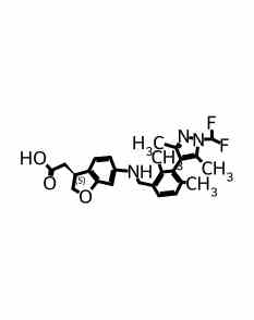 Cc1ccc(CNc2ccc3c(c2)OC[C@H]3CC(=O)O)c(C)c1-c1c(C)nn(C(F)F)c1C